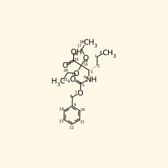 CCC[C@H](NC(=O)OCc1ccccc1)C(OCC)(OCC)C(=O)O